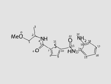 COCC(C)NC(=O)c1ccc(C(=O)Nc2ccccc2N)s1